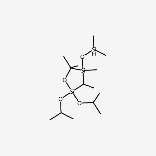 CC(C)O[Si](OC(C)C)(OC(C)C)C(C)[Si](C)(C)O[SiH](C)C